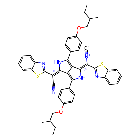 [C-]#[N+]/C(c1nc2ccccc2s1)=c1/[nH]c(-c2ccc(OCC(C)CC)cc2)c2/c(=C(\C#N)c3nc4ccccc4s3)[nH]c(-c3ccc(OCC(C)CC)cc3)c12